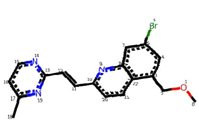 COCc1cc(Br)cc2nc(C=Cc3nccc(C)n3)ccc12